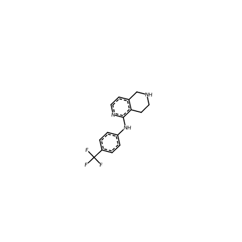 FC(F)(F)c1ccc(Nc2nccc3c2CCNC3)cc1